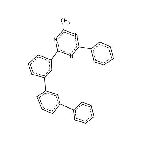 Cc1nc(-c2ccccc2)nc(-c2cccc(-c3cccc(-c4ccccc4)c3)c2)n1